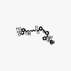 O=C(NC(c1ccccc1)c1cccc(OCc2cccc(C(=O)NCCCCNC[C@@H](O)c3ccc(O)c4[nH]c(=O)ccc34)c2)c1)O[C@H]1CN2CCC1CC2